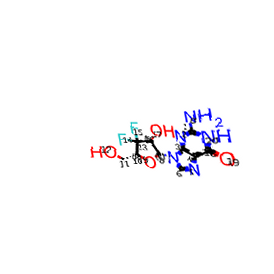 Nc1nc2c(ncn2[C@@H]2O[C@H](CO)C(F)(F)[C@H]2O)c(=O)[nH]1